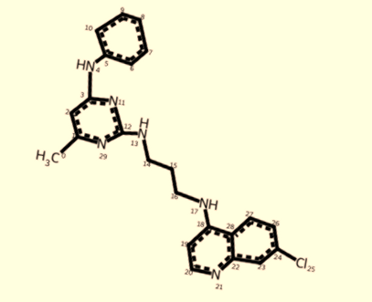 Cc1cc(Nc2ccccc2)nc(NCCCNc2ccnc3cc(Cl)ccc23)n1